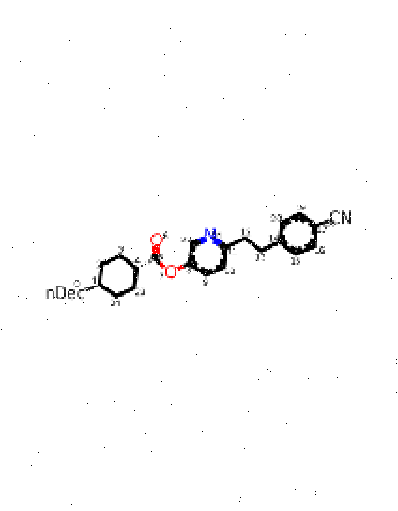 CCCCCCCCCC[C@H]1CC[C@H](C(=O)Oc2ccc(CCc3ccc(C#N)cc3)nc2)CC1